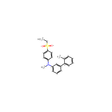 CN(c1ccc(S(=O)(=O)CC(=O)O)cc1)c1cccc(-c2ccccc2C(F)(F)F)c1